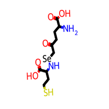 NC(CCC(=O)C[Se]NC(CCS)C(=O)O)C(=O)O